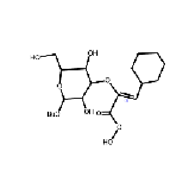 CC(C)COC1OC(CO)C(O)C(O/C(=C\C2CCCCC2)C(=O)OO)C1O